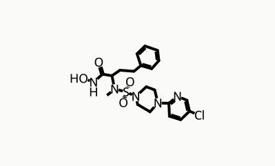 CN(C(CCc1ccccc1)C(=O)NO)S(=O)(=O)N1CCN(c2ccc(Cl)cn2)CC1